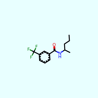 CCCC(C)NC(=O)c1cccc(C(F)(F)F)c1